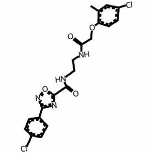 Cc1cc(Cl)ccc1OCC(=O)NCCNC(=O)c1nc(-c2ccc(Cl)cc2)no1